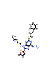 CC/C=C/CCCn1c(-c2ccco2)nc2c(N)nc(SCCCc3ccccc3)nc21